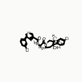 CC(C)[C@@H](NC(=O)c1cncc(-c2cccc(Cl)c2)c1)C(=O)N1CC[C@](O)(c2ccc(Cl)cc2)C(C)(C)C1